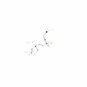 C#CCC(F)(F)C1(CCC(C)(CC)CC)N=N1